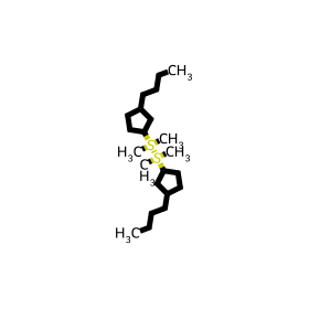 CCCCC1CCC(S(C)(C)S(C)(C)C2CCC(CCCC)C2)C1